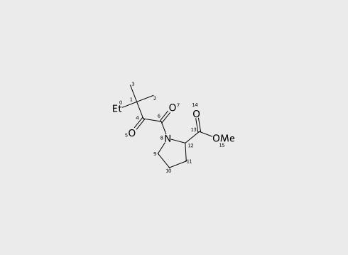 CCC(C)(C)C(=O)C(=O)N1CCCC1C(=O)OC